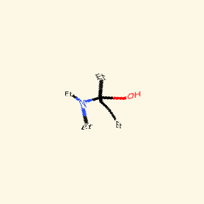 CCN(CC)C(O)(CC)CC